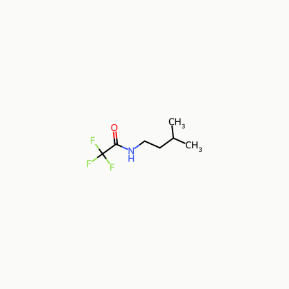 CC(C)CCNC(=O)C(F)(F)F